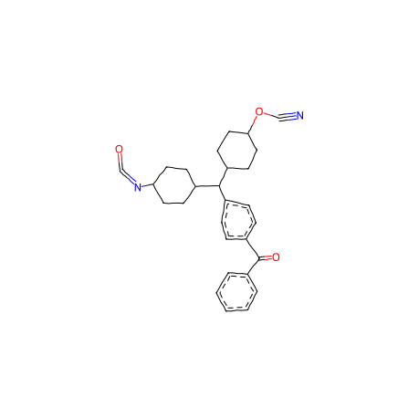 N#COC1CCC(C(c2ccc(C(=O)c3ccccc3)cc2)C2CCC(N=C=O)CC2)CC1